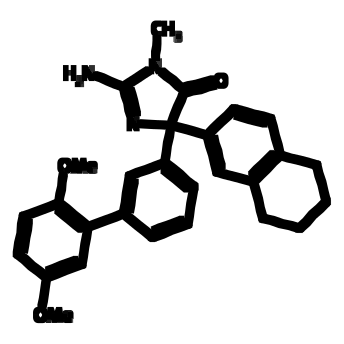 COc1ccc(OC)c(-c2cccc(C3(c4ccc5c(c4)CCCC5)N=C(N)N(C)C3=O)c2)c1